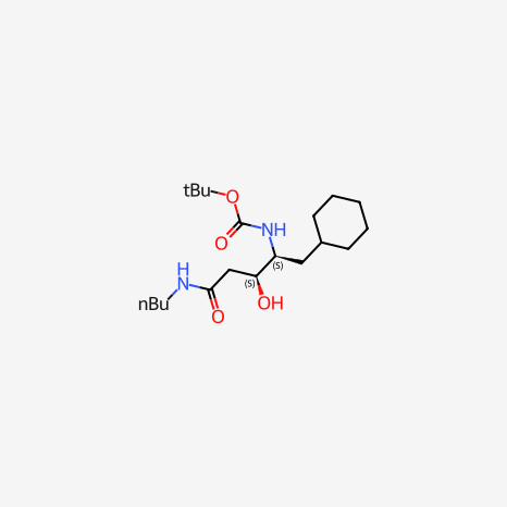 CCCCNC(=O)C[C@H](O)[C@H](CC1CCCCC1)NC(=O)OC(C)(C)C